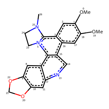 COc1cc2c3[n+](c4c5cc6c(cc5ncc4c2cc1OC)OCO6)CCN3C